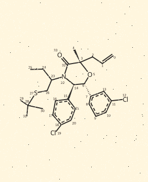 C=CC[C@]1(C)O[C@H](c2cccc(Cl)c2)[C@@H](c2ccc(Cl)cc2)N(C(CC)CSC(C)(C)C)C1=O